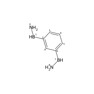 NBc1cccc(BN)c1